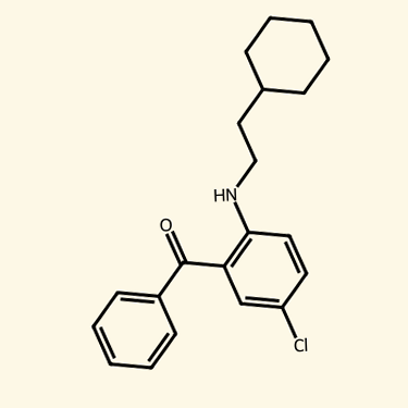 O=C(c1ccccc1)c1cc(Cl)ccc1NCCC1CCCCC1